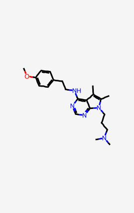 COc1ccc(CCNc2ncnc3c2c(C)c(C)n3CCCN(C)C)cc1